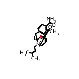 CC(C)=CCN1CC[C@]23CC(=O)CC[C@@]2(O)[C@H]1Cc1ccc(C(N)=O)c(C)c13